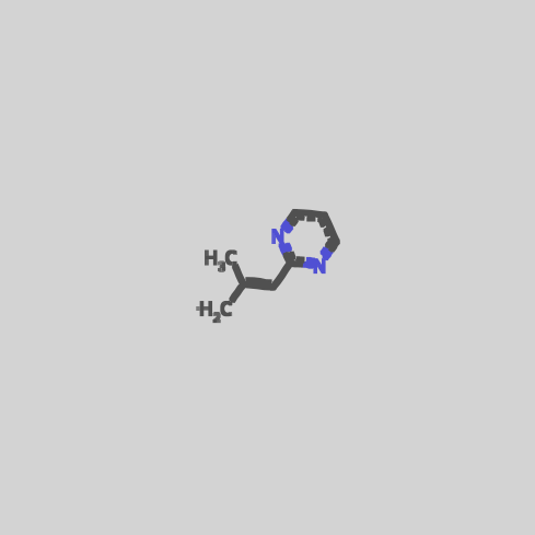 [CH2]C(C)=Cc1ncccn1